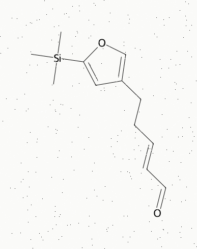 C[Si](C)(C)c1cc(CCC=CC=O)co1